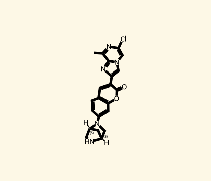 Cc1nc(Cl)cn2cc(-c3cc4ccc(N5C[C@@H]6C[C@H]5CN6)cc4oc3=O)nc12